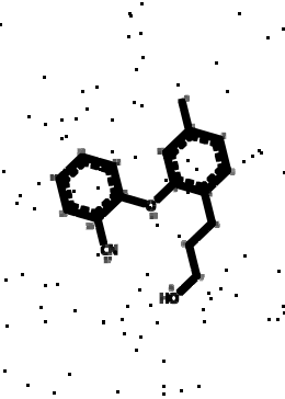 Cc1ccc(CCCO)c(Oc2ccccc2C#N)c1